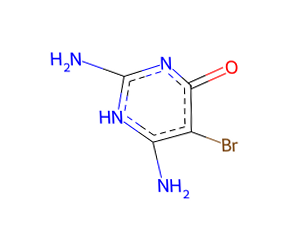 Nc1nc(=O)c(Br)c(N)[nH]1